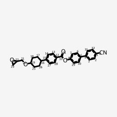 N#Cc1ccc(-c2ccc(OC(=O)c3ccc(C4CCC(OCC5CO5)CC4)cc3)cc2)cc1